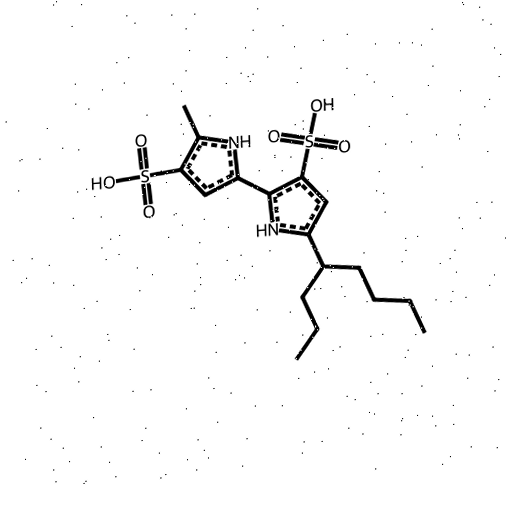 CCCCC(CCC)c1cc(S(=O)(=O)O)c(-c2cc(S(=O)(=O)O)c(C)[nH]2)[nH]1